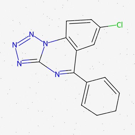 Clc1ccc2c(c1)c(C1=CCCC=C1)nc1nnnn12